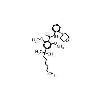 CCCCCCC(C)(C)c1cc(OC)c(C(=O)Nc2ccccc2N2CCOCC2)c(OC)c1